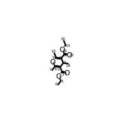 CCOC(=O)C1=C(C)OC(C)=C(C(=O)OCC)C1C